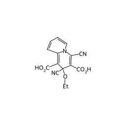 CCOC1(C#N)C(C(=O)O)=C(C#N)N2C=CC=CC2=C1C(=O)O